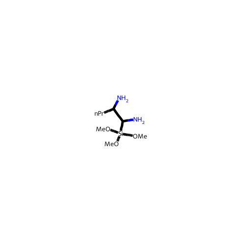 CCCC(N)C(N)[Si](OC)(OC)OC